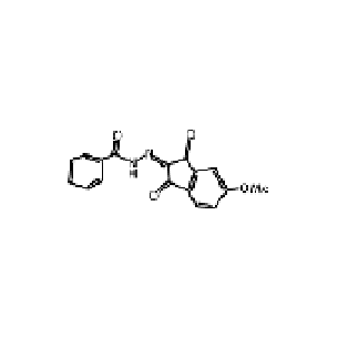 COc1ccc2c(=O)/c(=N\NC(=O)c3ccccc3)c(=O)c2c1